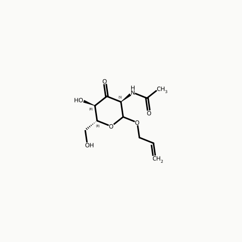 C=CCOC1O[C@H](CO)[C@@H](O)C(=O)[C@H]1NC(C)=O